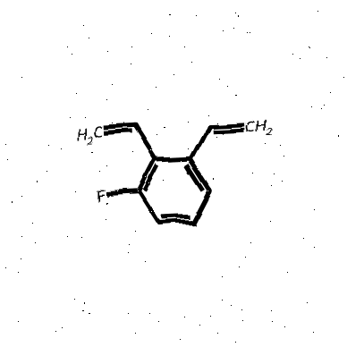 C=Cc1cccc(F)c1C=C